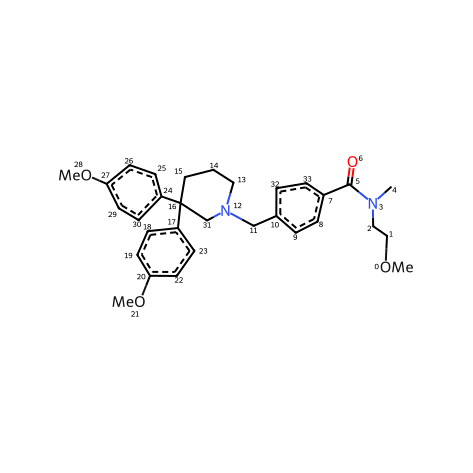 COCCN(C)C(=O)c1ccc(CN2CCCC(c3ccc(OC)cc3)(c3ccc(OC)cc3)C2)cc1